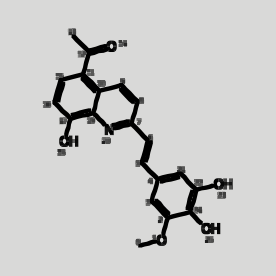 COc1cc(C=Cc2ccc3c(C(C)=O)ccc(O)c3n2)cc(O)c1O